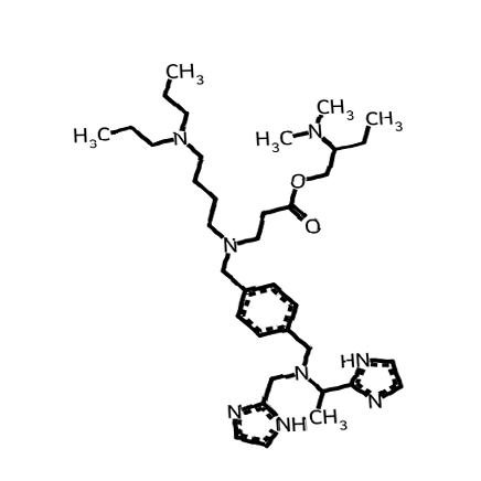 CCCN(CCC)CCCCN(CCC(=O)OCC(CC)N(C)C)Cc1ccc(CN(Cc2ncc[nH]2)C(C)c2ncc[nH]2)cc1